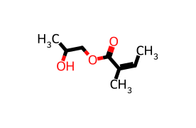 CC=C(C)C(=O)OCC(C)O